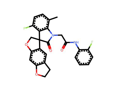 Cc1ccc(F)c2c1N(CC(=O)Nc1ccccc1F)C(=O)C21COc2cc3c(cc21)CCO3